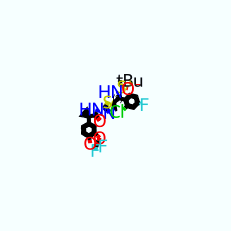 CC(C)(C)[S+]([O-])N[C@H](c1cnc(NC(=O)C2(c3ccc4c(c3)OC(F)(F)O4)CC2)s1)c1ccc(F)cc1Cl